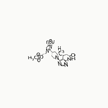 CCCCc1cn(CCOS(C)(=O)=O)c(C2CCN(c3ncnc4c3[C@H](C)CC(=O)N4)CC2)n1